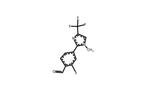 Cn1cc(C(F)(F)F)nc1-c1ccc(C=O)c(F)c1